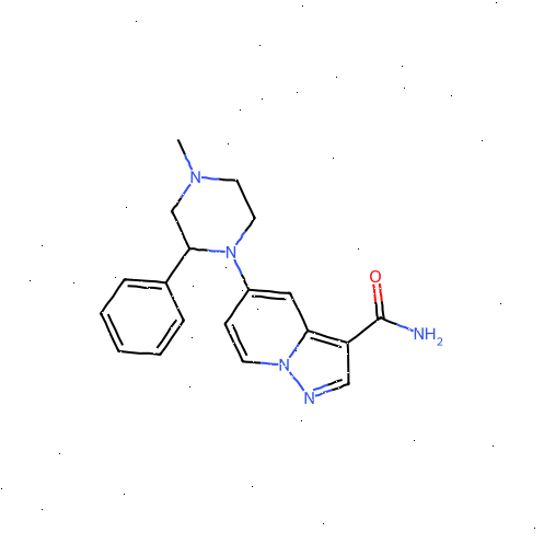 CN1CCN(c2ccn3ncc(C(N)=O)c3c2)C(c2ccccc2)C1